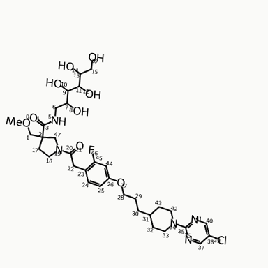 COCC1(C(=O)NCC(O)C(O)C(O)C(O)CO)CCN(C(=O)Cc2ccc(OCCCC3CCN(c4ncc(Cl)cn4)CC3)cc2F)C1